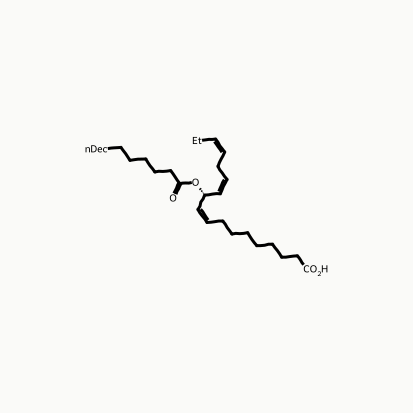 CC/C=C\C/C=C\[C@H](/C=C\CCCCCCCC(=O)O)OC(=O)CCCCCCCCCCCCCCC